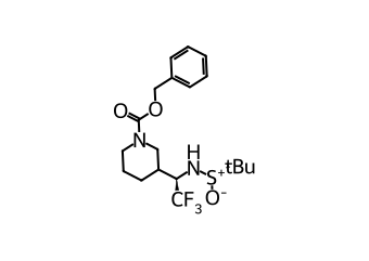 CC(C)(C)[S@+]([O-])N[C@H](C1CCCN(C(=O)OCc2ccccc2)C1)C(F)(F)F